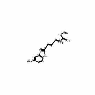 CC(C)(C)OC(=O)NCCCc1nc2cc(Br)ccc2o1